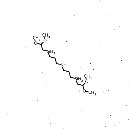 COC(C[SiH2]CCCNCCC[SiH2]CC(OC)OC)OC